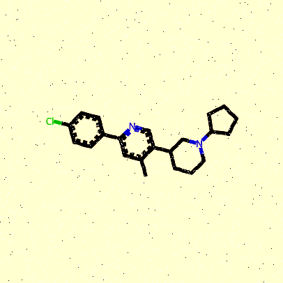 Cc1cc(-c2ccc(Cl)cc2)ncc1C1CCCN(C2CCCC2)C1